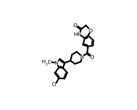 Cn1cc(C2CCN(C(=O)c3ccc4c(c3)NC(=O)CO4)CC2)c2ccc(Cl)cc21